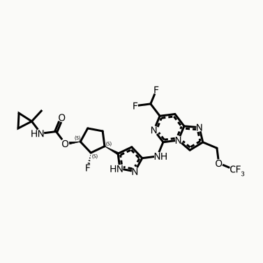 CC1(NC(=O)O[C@H]2CC[C@@H](c3cc(Nc4nc(C(F)F)cc5nc(COC(F)(F)F)cn45)n[nH]3)[C@@H]2F)CC1